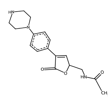 CC(=O)NCC1C=C(c2ccc(N3CCNCC3)cc2)C(=O)O1